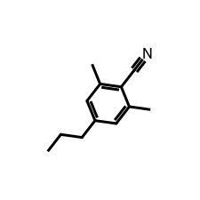 CCCc1cc(C)c(C#N)c(C)c1